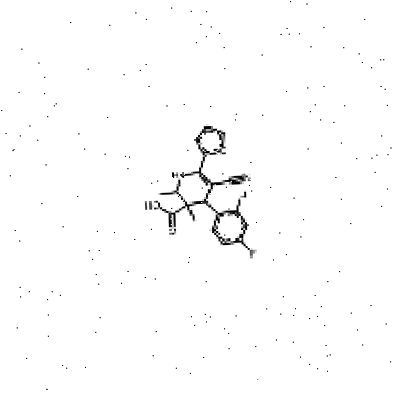 CC1NC(c2ccco2)=C(C#N)C(c2ccc(F)cc2Cl)C1(C)C(=O)O